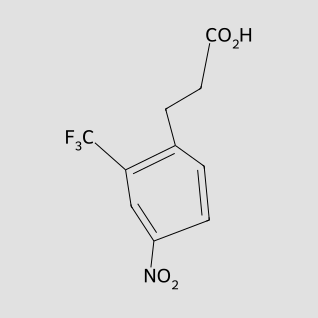 O=C(O)CCc1ccc([N+](=O)[O-])cc1C(F)(F)F